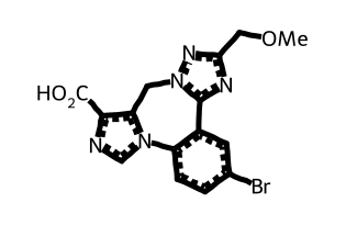 COCc1nc2n(n1)Cc1c(C(=O)O)ncn1-c1ccc(Br)cc1-2